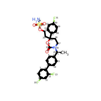 C[C@@H](c1ccc(-c2ccc(F)cc2F)cc1)N1CCC(CCOS(N)(=O)=O)(c2ccc(F)cc2)OC1=O